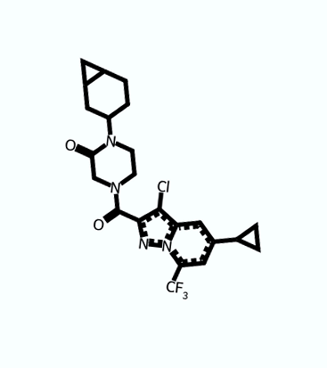 O=C(c1nn2c(C(F)(F)F)cc(C3CC3)cc2c1Cl)N1CCN(C2CCC3CC3C2)C(=O)C1